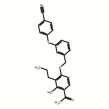 CCCc1c(OCc2cccc(Sc3ccc(C#N)cc3)c2)ccc(C(C)=O)c1O